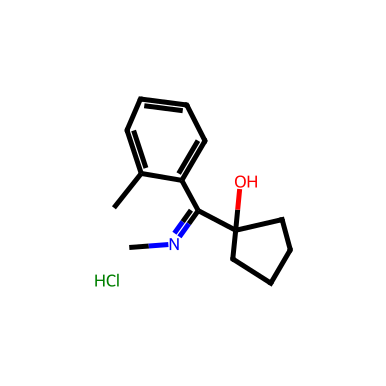 CN=C(c1ccccc1C)C1(O)CCCC1.Cl